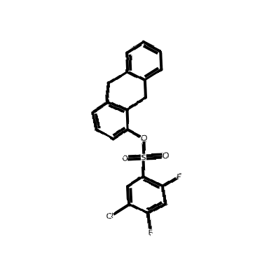 O=S(=O)(Oc1cccc2c1Cc1ccccc1C2)c1cc(Cl)c(F)cc1F